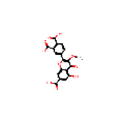 COc1c(-c2ccc(C(=O)O)c(C(=O)O)c2)oc2cc(C(=O)O)cc(O)c2c1=O